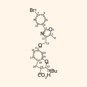 Cc1oc(-c2ccc(Br)cc2)nc1COc1ccc2c(c1)OC(C(C)(C)C)C(C(=O)O)C2